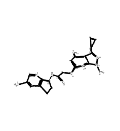 Cc1cnc2c(c1)CC[C@@H]2NC(=O)COc1cc(C)c2c(C3CC3)nn(C)c2n1